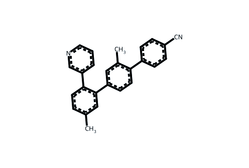 Cc1ccc(-c2cccnc2)c(-c2ccc(-c3ccc(C#N)cc3)c(C)c2)c1